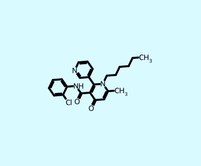 CCCCCCn1c(C)cc(=O)c(C(=O)Nc2ccccc2Cl)c1-c1cccnc1